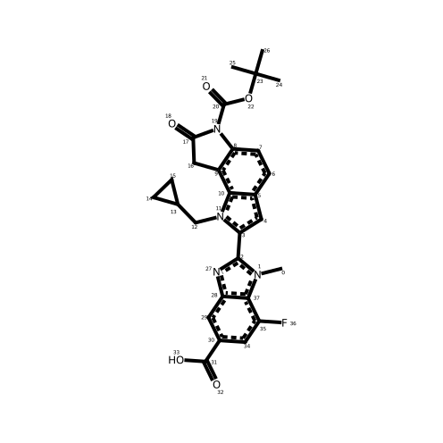 Cn1c(-c2cc3ccc4c(c3n2CC2CC2)CC(=O)N4C(=O)OC(C)(C)C)nc2cc(C(=O)O)cc(F)c21